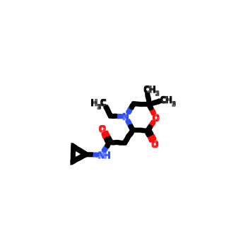 CCN1CC(C)(C)OC(=O)C1CC(=O)NC1CC1